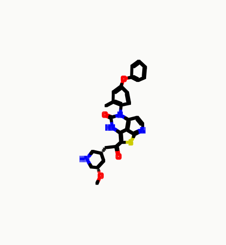 CO[C@@H]1CNC[C@H](CC(=O)c2sc3nccc4c3c2NC(=O)N4c2ccc(Oc3ccccc3)cc2C)C1